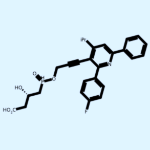 CC(C)c1cc(-c2ccccc2)nc(-c2ccc(F)cc2)c1C#CCO[PH](=O)C[C@@H](O)CC(=O)O